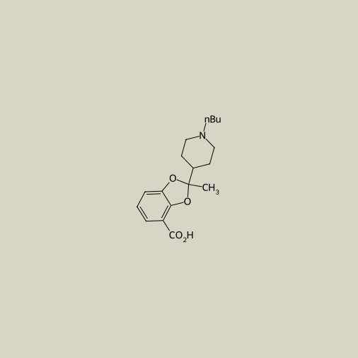 CCCCN1CCC(C2(C)Oc3cccc(C(=O)O)c3O2)CC1